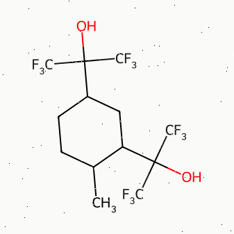 CC1CCC(C(O)(C(F)(F)F)C(F)(F)F)CC1C(O)(C(F)(F)F)C(F)(F)F